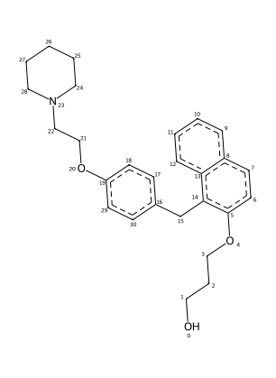 OCCCOc1ccc2ccccc2c1Cc1ccc(OCCN2CCCCC2)cc1